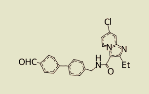 CCc1nc2cc(Cl)ccn2c1C(=O)NCc1ccc(-c2ccc(C=O)cc2)cc1